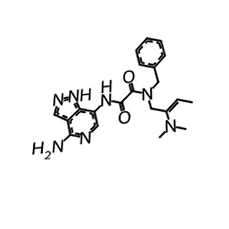 C/C=C(/CN(Cc1ccccc1)C(=O)C(=O)Nc1cnc(N)c2cn[nH]c12)N(C)C